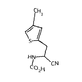 Cc1csc(CC(C#N)NC(=O)O)c1